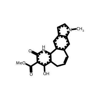 COC(=O)c1c(O)c2c([nH]c1=O)-c1cc3ccn(C)c3cc1C=CC2